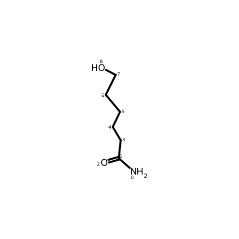 NC(=O)CCC[CH]CO